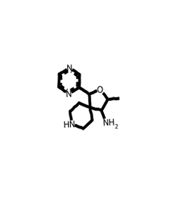 CC1OC(c2cnccn2)C2(CCNCC2)C1N